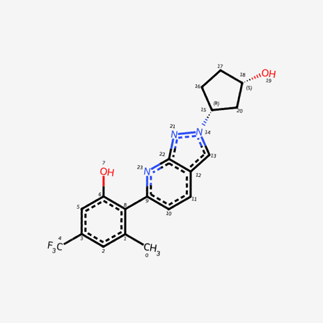 Cc1cc(C(F)(F)F)cc(O)c1-c1ccc2cn([C@@H]3CC[C@H](O)C3)nc2n1